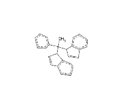 CC(c1ccccc1)(C1C=Cc2ccccc21)C1C=Cc2ccccc21